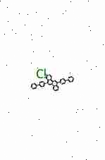 Clc1ccc2c(c1)c(-c1ccc(-c3ccccc3)cc1)cc1c3ccccc3c(-c3ccc(-c4ccccc4)cc3)cc21